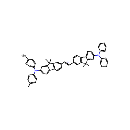 Cc1ccc(N(c2ccc(C(C)(C)C)cc2)c2ccc3c(c2)C(C)(C)c2cc(/C=C/c4ccc5c(c4)C(C)(C)c4cc(N(c6ccccc6)c6ccccc6)ccc4-5)ccc2-3)cc1